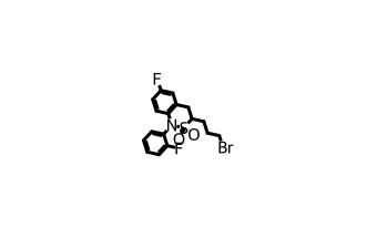 O=S1(=O)C(CCCBr)Cc2cc(F)ccc2N1c1ccccc1F